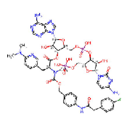 CN(C)c1ccc(C[C@@H](C(=O)O[C@H]2[C@@H](O)[C@H](n3cnc4c(N)ncnc43)O[C@@H]2COP(=O)(O)O[C@H]2[C@@H](O)[C@H](n3ccc(N)nc3=O)O[C@@H]2COP(=O)(O)O)N(C)C(=O)OCc2ccc(NC(=O)Cc3ccc(F)cc3)cc2)cn1